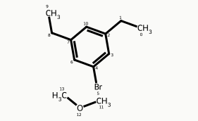 CCc1cc(Br)cc(CC)c1.COC